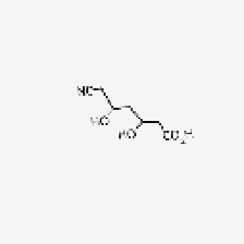 N#CC[C@@H](O)CC(O)CC(=O)O